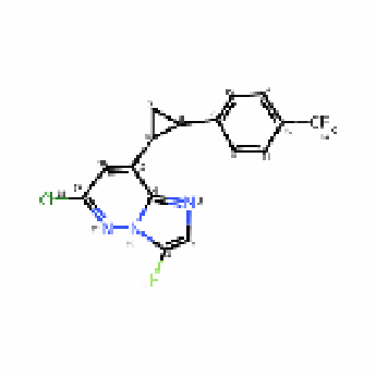 Fc1cnc2c([C@H]3CC3c3ccc(C(F)(F)F)cc3)cc(Cl)nn12